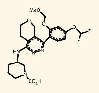 COCOc1cc(OC(F)F)ccc1-c1nnc(N[C@@H]2CCCN(C(=O)O)C2)c2c1COCC2